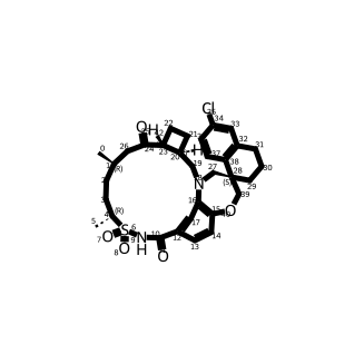 C[C@@H]1CC[C@@H](C)S(=O)(=O)NC(=O)c2ccc3c(c2)N(C[C@@H]2CC[C@H]2C(=O)C1)C[C@@]1(CCCc2cc(Cl)ccc21)CO3